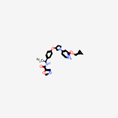 C[C@H](NC(=O)c1cnco1)c1ccc(OC2CCN(c3ccnc(OCC4CC4)c3)C2)cc1